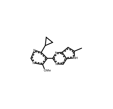 COc1ncnc(C2CC2)c1-c1ncc2[nH]c(C)cc2n1